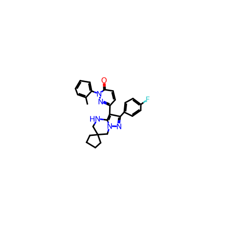 Cc1ccccc1-n1nc(-c2c(-c3ccc(F)cc3)nn3c2NCC2(CCCC2)C3)ccc1=O